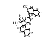 CC1(C)c2cc(-c3nc(Cl)nc4ccccc34)ccc2-c2c1ccc1ccccc21